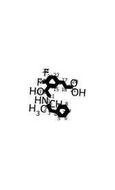 CC(C)(Cc1ccccc1)NC[C@@H](O)c1cc(CCC(=O)O)cc(F)c1F